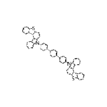 C1=CC2Sc3ccccc3C2c2c1n(-c1ccc(-c3ccc(-c4ccc(-n5c6ccccc6c6c7c(ccc65)sc5ccccc57)cc4)cc3)cc1)c1ccccc21